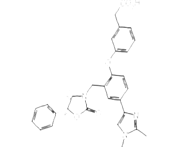 Cc1nc(-c2ccc(Oc3cccc(CC(=O)O)c3)c(CN3C(=O)O[C@H](c4ccccc4)[C@@H]3C)c2)cn1C